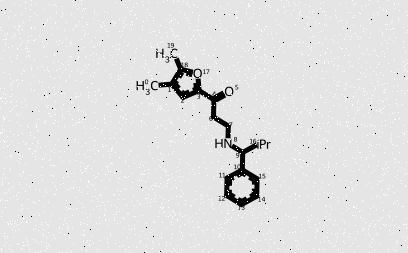 Cc1cc(C(=O)CCNC(c2ccccc2)C(C)C)oc1C